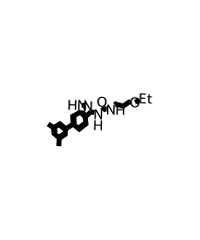 CCOCCCNC(=O)Nc1n[nH]c2cc(-c3cc(C)cc(C)c3)ccc12